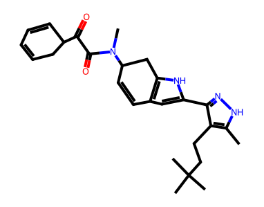 Cc1[nH]nc(-c2cc3c([nH]2)CC(N(C)C(=O)C(=O)C2C=CC=CC2)C=C3)c1CCC(C)(C)C